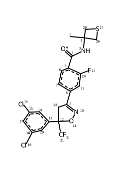 CC1(NC(=O)c2ccc(C3=NOC(c4cc(Cl)cc(Cl)c4)(C(F)(F)F)C3)cc2F)CSC1